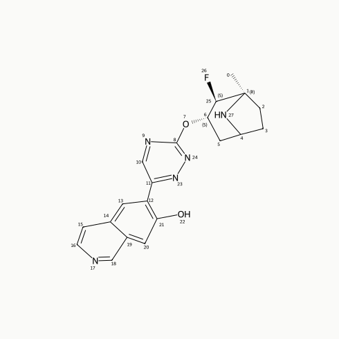 C[C@@]12CCC(C[C@H](Oc3ncc(-c4cc5ccncc5cc4O)nn3)[C@H]1F)N2